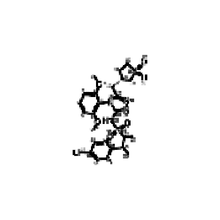 COc1cccc(OC)c1-n1c(C[C@@H]2CCS(=O)(=O)C2)nnc1NS(=O)(=O)C(C)C(C)c1ncc(Cl)cn1